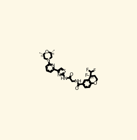 C[C@@H]1CN(c2cccc(-c3csc(NC(=O)CNC(=O)c4ccc5c(c4)[C@@](F)(C(F)F)CCO5)n3)n2)C[C@H](C)O1